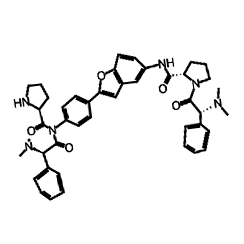 CN(C)[C@@H](C(=O)N(C(=O)[C@@H]1CCCN1)c1ccc(-c2cc3cc(NC(=O)[C@@H]4CCCN4C(=O)[C@@H](c4ccccc4)N(C)C)ccc3o2)cc1)c1ccccc1